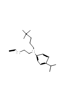 C=CNCCN(CCCC(C)(C)C)c1ccc(C(C)C)cc1